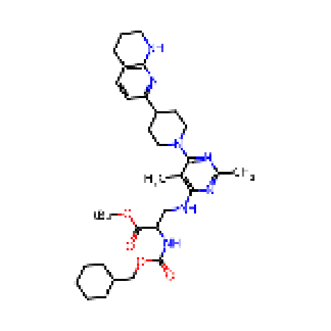 Cc1nc(NCC(NC(=O)OCC2CCCCC2)C(=O)OC(C)(C)C)c(C)c(N2CCC(c3ccc4c(n3)NCCC4)CC2)n1